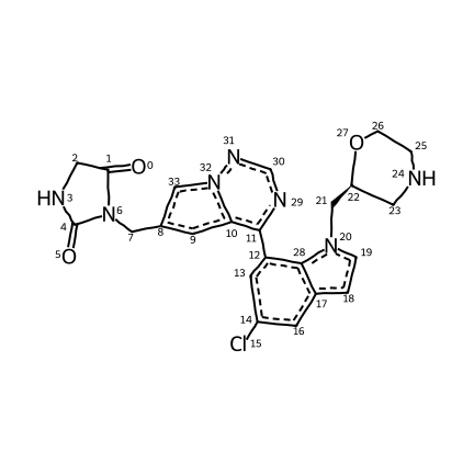 O=C1CNC(=O)N1Cc1cc2c(-c3cc(Cl)cc4ccn(C[C@@H]5CNCCO5)c34)ncnn2c1